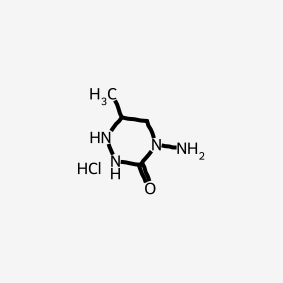 CC1CN(N)C(=O)NN1.Cl